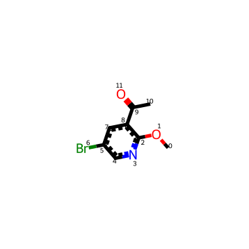 COc1ncc(Br)cc1C(C)=O